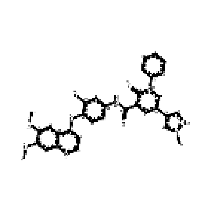 COc1cc2nccc(Oc3ccc(NC(=O)c4cc(-c5cnn(C)c5)cn(-c5ccccc5)c4=O)cc3F)c2cc1OC